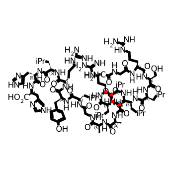 CC(C)C[C@H](NC(=O)CNC(=O)[C@H](C)NC(=O)[C@H](C)NC(=O)[C@H](C)NC(=O)[C@H](CCCNC(=N)N)NC(=O)[C@H](CC(C)C)NC(=O)[C@@H](NC(=O)[C@H](CC(C)C)NC(=O)[C@H](CC(C)C)NC(=O)[C@H](CO)NC(=O)[C@H](CCCNC(=N)N)NC(=O)CNC(=O)CN)C(C)C)C(=O)N[C@@H](Cc1ccc(O)cc1)C(=O)N[C@@H](CCCNC(=N)N)C(=O)N[C@@H](CC(C)C)C(=O)N[C@@H](Cc1c[nH]cn1)C(=O)N[C@@H](Cc1c[nH]cn1)C(=O)O